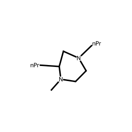 CCCC1CN(CCC)CCN1C